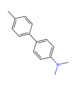 Cc1ccc(-c2ccc(N(C)C)cc2)cc1